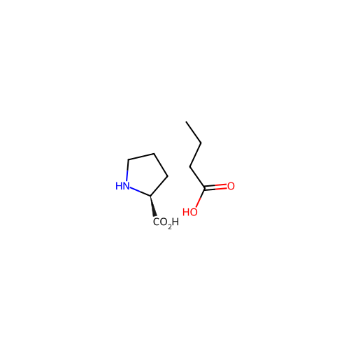 CCCC(=O)O.O=C(O)[C@@H]1CCCN1